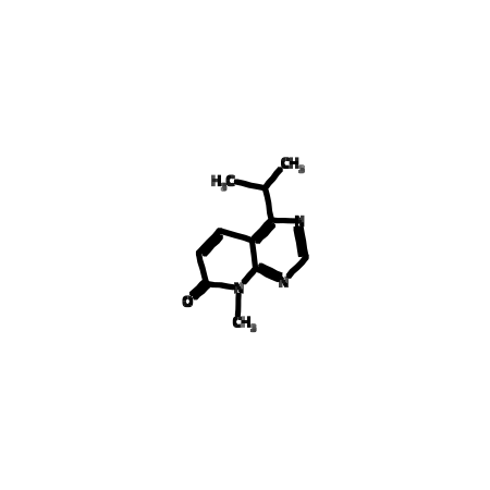 CC(C)c1ncnc2c1ccc(=O)n2C